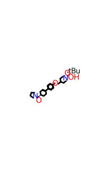 CC(C)(C)OC(O)N1CCC(COc2ccc(C3=CC[C@H](C(=O)N4CCCC4)CC3)cc2)CC1